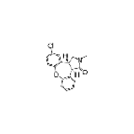 CN1C[C@H]2c3cc(Cl)ccc3Oc3ccccc3[C@@H]2C1=O